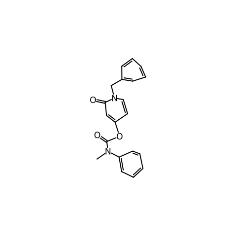 CN(C(=O)Oc1ccn(Cc2ccccc2)c(=O)c1)c1ccccc1